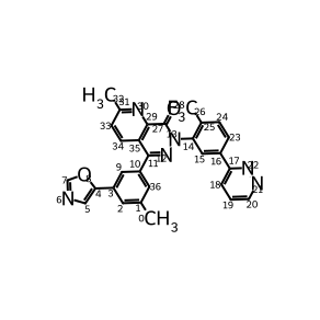 Cc1cc(-c2cnco2)cc(-c2nn(-c3cc(-c4cccnn4)ccc3C(F)(F)F)c(=O)c3nc(C)ccc23)c1